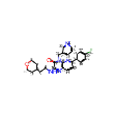 O=c1c(NCCC2CCOCC2)nc2ccc(-c3ccc(F)cc3)nc2n1Cc1cccnc1